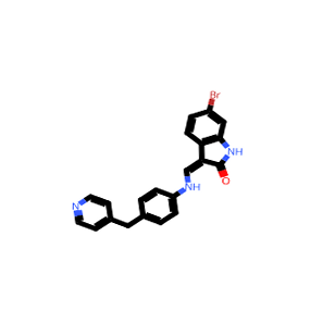 O=C1Nc2cc(Br)ccc2C1=CNc1ccc(Cc2ccncc2)cc1